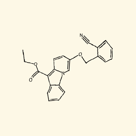 CCOC(=O)c1c2ccccc2n2cc(OCc3ccccc3C#N)ccc12